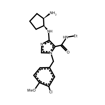 CCNC(=O)c1c(N[C@H]2CCC[C@H]2N)ncn1Cc1ccc(OC)c(Cl)c1